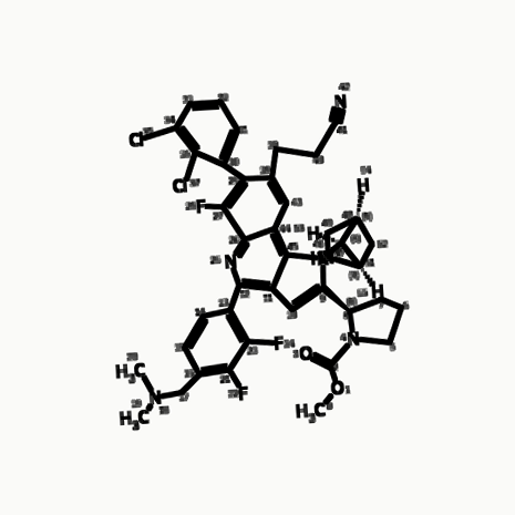 COC(=O)N1CCC[C@@H]1c1cc2c(-c3ccc(CN(C)C)c(F)c3F)nc3c(F)c(-c4cccc(Cl)c4Cl)c(CCC#N)cc3c2n1[C@H]1[C@H]2CN[C@@H]1C2